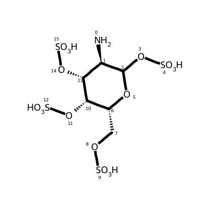 N[C@H]1C(OS(=O)(=O)O)O[C@H](COS(=O)(=O)O)[C@H](OS(=O)(=O)O)[C@@H]1OS(=O)(=O)O